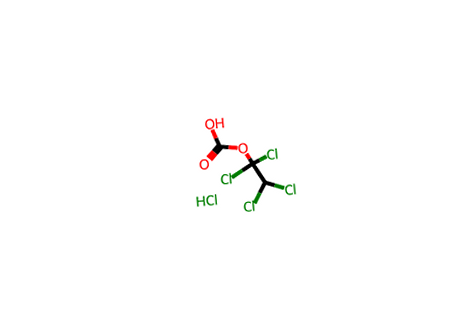 Cl.O=C(O)OC(Cl)(Cl)C(Cl)Cl